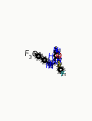 Cn1cc(Cc2cn(Cc3nnc(-c4ccc(-c5ccc(C(F)(F)F)cc5)cc4)[nH]3)c(SCc3ccc(F)cc3)nc2=O)cn1